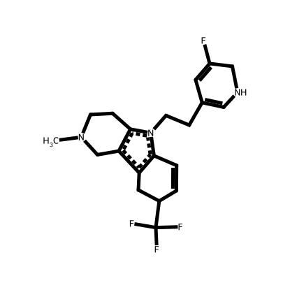 CN1CCc2c(c3c(n2CCC2=CNCC(F)=C2)C=CC(C(F)(F)F)C3)C1